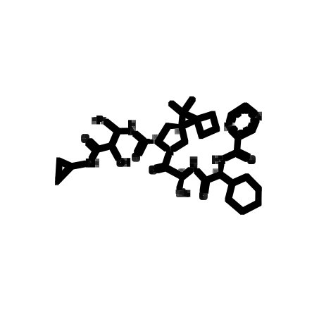 CCCC(NC(=O)[C@@H]1C[C@@]2(CN1C(=O)[C@@H](NC(=O)[C@@H](NC(=O)c1cnccn1)C1CCCCC1)C(C)(C)C)C(C)(C)C21CCC1)C(O)C(=O)NC1CC1